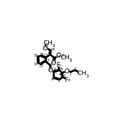 CCCOc1c(F)ccc(OCc2ccccc2/C(=C\OC)C(=O)OC)c1F